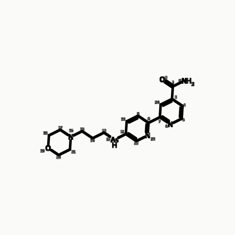 NC(=O)c1ccnc(-c2ccc([AsH]CCCN3CCOCC3)cn2)c1